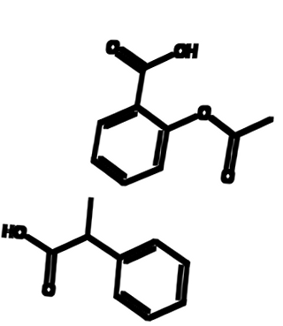 CC(=O)Oc1ccccc1C(=O)O.CC(C(=O)O)c1ccccc1